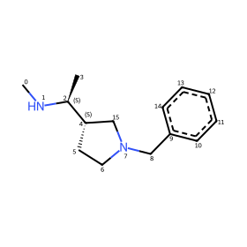 CN[C@@H](C)[C@H]1CCN(Cc2ccccc2)C1